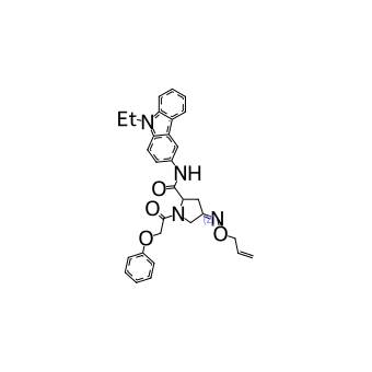 C=CCO/N=C1/CC(C(=O)Nc2ccc3c(c2)c2ccccc2n3CC)N(C(=O)COc2ccccc2)C1